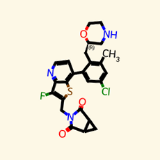 Cc1cc(Cl)cc(-c2ccnc3c(F)c(CN4C(=O)C5CC5C4=O)sc23)c1C[C@@H]1CNCCO1